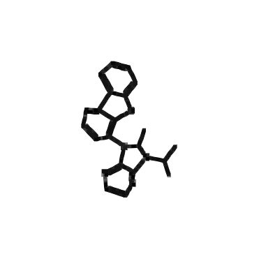 CC(C)N1c2nccnc2N(c2cccc3c2oc2ccccc23)C1C